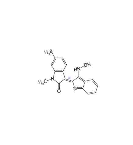 Bc1ccc2c(c1)N(C)C(=O)/C2=C1\N=c2ccccc2=C1NO